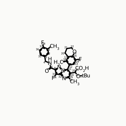 Cc1cc(CNC(=O)c2nn3c(-c4cc(F)c5c(c4C)CCCO5)c(C(OC(C)(C)C)C(=O)O)c(C)nc3c2F)ccc1F